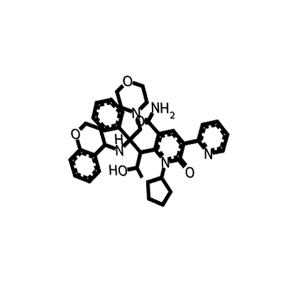 CC(O)C(c1c(C(N)=O)cc(-c2ccccn2)c(=O)n1C1CCCC1)C(CN1CCOCC1)(NC1CCOc2ccccc21)c1ccccc1